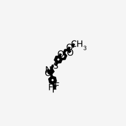 CCOC(=O)CC1CCc2cc(SCc3cc(-c4ccc(C(F)(F)F)cc4)on3)ccc2O1